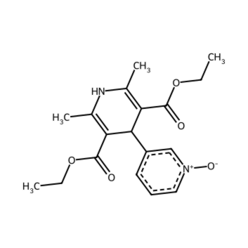 CCOC(=O)C1=C(C)NC(C)=C(C(=O)OCC)C1c1ccc[n+]([O-])c1